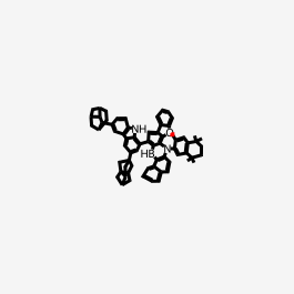 Cc1cc2c(cc1N1c3ccc4ccccc4c3Bc3c(-c4cc(C56CC7CC8CC7(C5)C8C6)cc5c4[nH]c4ccc(C6C7CCC8CC(C7)C86)cc45)cc4c(oc5ccccc54)c31)C(C)(C)CCC2(C)C